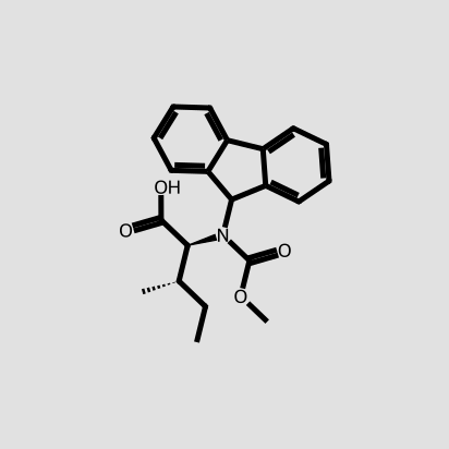 CC[C@H](C)[C@@H](C(=O)O)N(C(=O)OC)C1c2ccccc2-c2ccccc21